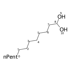 CCCCCCCCCCCCC(O)O